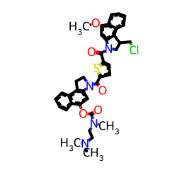 COc1cc2c(c3ccccc13)C(CCl)CN2C(=O)c1ccc(C(=O)N2CCc3c2cc(OC(=O)N(C)CCN(C)C)c2ccccc32)s1